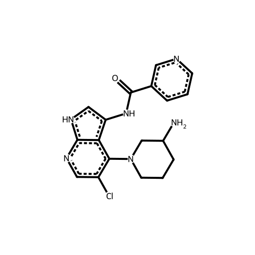 NC1CCCN(c2c(Cl)cnc3[nH]cc(NC(=O)c4cccnc4)c23)C1